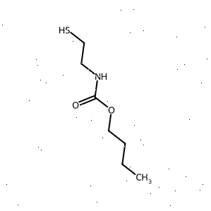 CCCCOC(=O)NCCS